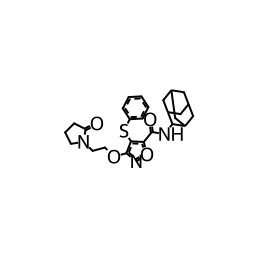 O=C(NC1C2CC3CC(C2)CC1C3)c1onc(OCCN2CCCC2=O)c1Sc1ccccc1